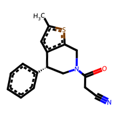 Cc1cc2c(s1)CN(C(=O)CC#N)C[C@@H]2c1ccccc1